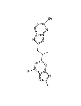 Cc1nc2cc(C(C)Cc3cn4nc(C(C)C)ccc4n3)cc(F)c2o1